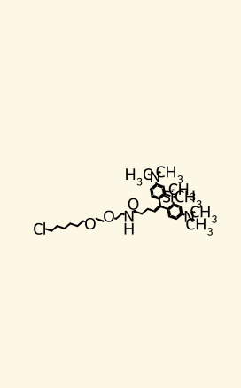 CN(C)c1ccc2c(c1)[Si](C)(C)c1cc(N(C)C)ccc1C2=CCCC(=O)NCCOCCOCCCCCCCl